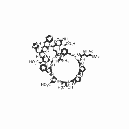 CSCC[C@H](NC(C)=O)C(=O)N[C@H]1CSCc2cccc(c2)CSC[C@@H](C(=O)N[C@@H](CC(=O)O)C(=O)N[C@@H](Cc2c[nH]cn2)C(=O)N[C@@H](Cc2ccncc2)C(=O)N[C@@H](CCCNC(=N)N)C(=O)N[C@@H](CC(=O)O)C(N)=O)NC(=O)[C@H](Cc2ccccc2)NC(=O)[C@H](CCC(=O)O)NC(=O)[C@H]([C@@H](C)O)NC(=O)[C@@H]2CCCN2C(=O)[C@@H]2CCCN2C1=O